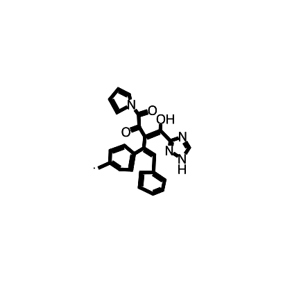 [CH2]c1ccc(C(=Cc2ccccc2)C(C(=O)C(=O)n2cccc2)=C(O)c2nc[nH]n2)cc1